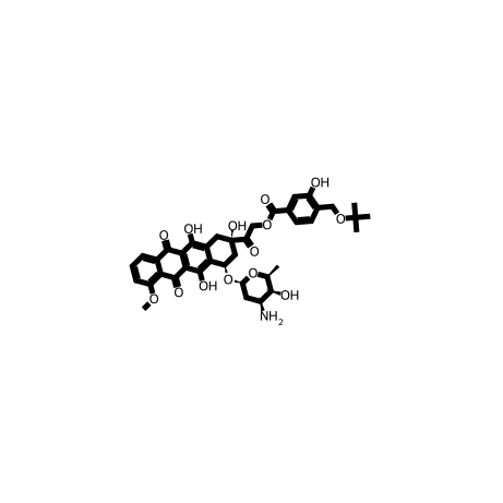 COc1cccc2c1C(=O)c1c(O)c3c(c(O)c1C2=O)C[C@@](O)(C(=O)COC(=O)c1ccc(COC(C)(C)C)c(O)c1)C[C@@H]3O[C@H]1C[C@H](N)[C@H](O)[C@H](C)O1